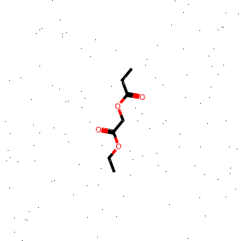 CCOC(=O)COC(=O)CC